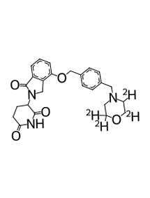 [2H]C1OC([2H])([2H])CN(Cc2ccc(COc3cccc4c3CN(C3CCC(=O)NC3=O)C4=O)cc2)C1[2H]